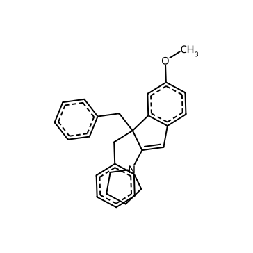 COc1ccc2c(c1)C(Cc1ccccc1)(Cc1ccccc1)C(N1CCCC1)=C2